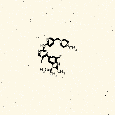 Cc1nc2c(F)cc(-c3nc(Nc4ccc(CN5CCN(C)CC5)cn4)ncc3F)cc2n1C(C)C